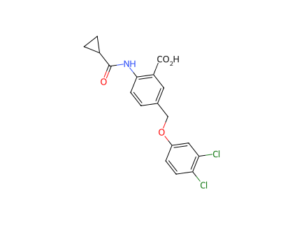 O=C(O)c1cc(COc2ccc(Cl)c(Cl)c2)ccc1NC(=O)C1CC1